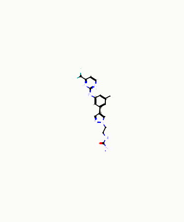 CCNC(=O)NCCn1cc(-c2cc(C)cc(Nc3nccc(C(F)F)n3)c2)cn1